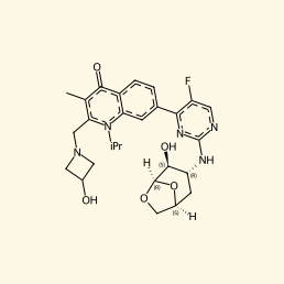 Cc1c(CN2CC(O)C2)n(C(C)C)c2cc(-c3nc(N[C@@H]4C[C@H]5CO[C@H](O5)[C@H]4O)ncc3F)ccc2c1=O